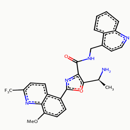 COc1ccc(-c2nc(C(=O)NCc3ccnc4ccccc34)c([C@H](C)N)o2)c2ccc(C(F)(F)F)nc12